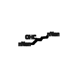 CCCCCCCCCCC/C=C(\C=O)CCCCCCCCCC